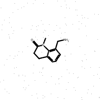 CN1C(=O)CCc2cccc(CN)c21